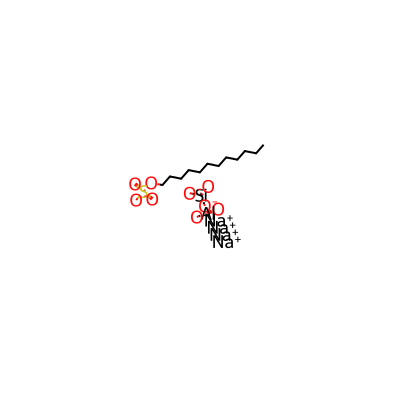 CCCCCCCCCCCCOS(=O)(=O)[O-].O=[Si]([O-])[O-].[Na+].[Na+].[Na+].[Na+].[O]=[Al][O-]